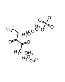 CCC(=O)C(C)=O.O.O.O.O.O.O=S(=O)([O-])[O-].[Cu+2]